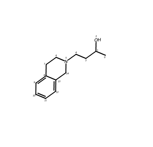 CC(O)CCN1CCc2ccccc2C1